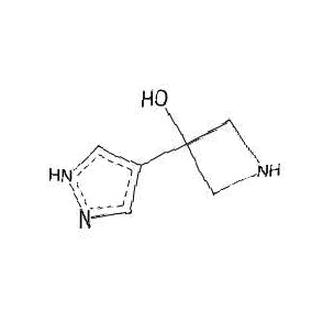 OC1(c2cn[nH]c2)CNC1